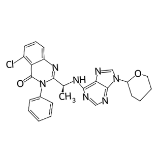 C[C@H](Nc1ncnc2c1ncn2C1CCCCO1)c1nc2cccc(Cl)c2c(=O)n1-c1ccccc1